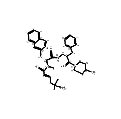 CN(C(=O)/C=C/CC(C)(C)N)[C@H](Cc1ccc2ccccc2c1)C(=O)NC[C@@H](Cc1ccccc1)C(=O)N1CCC(O)CC1